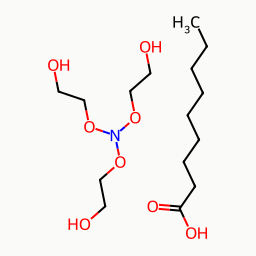 CCCCCCCCC(=O)O.OCCON(OCCO)OCCO